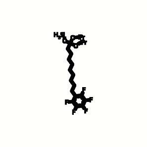 CC(C)OC(CCCCCCCCCc1c(F)c(F)c(F)c(F)c1F)(O[SiH3])OC(C)C